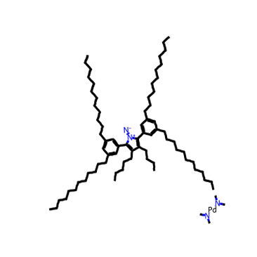 CCCCCCCCCCCCc1cc(CCCCCCCCCCCC)cc(C2=C(CCCC)C(CCCCC)=C(c3cc(CCCCCCCCCCCC)cc(CCCCCCCCCCCC)c3)[N+]2=[N-])c1.C[N](C)[Pd][N](C)C